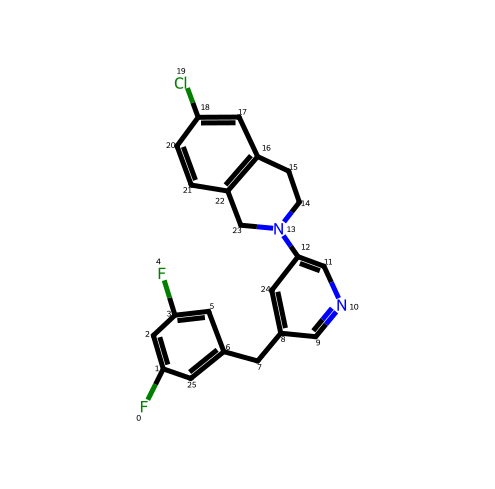 Fc1cc(F)cc(Cc2cncc(N3CCc4cc(Cl)ccc4C3)c2)c1